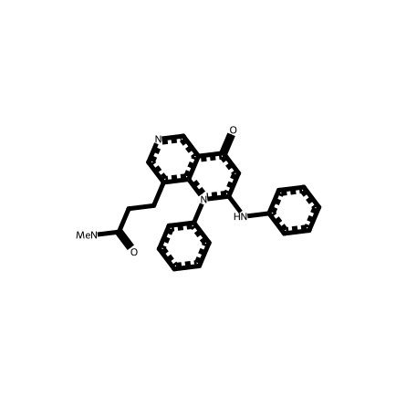 CNC(=O)CCc1cncc2c(=O)cc(Nc3ccccc3)n(-c3ccccc3)c12